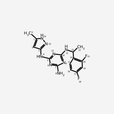 Cc1cc(Nc2nc(N)nc(NC(C)c3ccc(F)cc3F)n2)n[nH]1